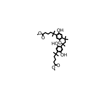 COC(=O)CCCC(C)(C)c1cc(O)c(C2(C)CC(C)(C)c3cc(O)c(C(C)(C)CCCC(=O)OC)cc3O2)cc1O